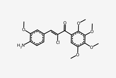 COc1cc(C=C(Cl)C(=O)c2cc(OC)c(OC)c(OC)c2OC)ccc1N